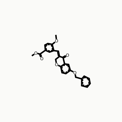 COC(=O)c1ccc(OC)c(/C=C2\COc3ccc(OCc4ccccc4)cc3C2=O)c1